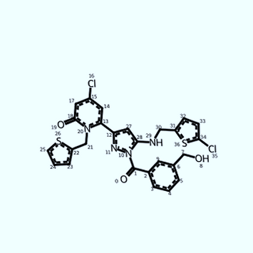 O=C(c1cccc(CO)c1)n1nc(-c2cc(Cl)cc(=O)n2Cc2cccs2)cc1NCc1ccc(Cl)s1